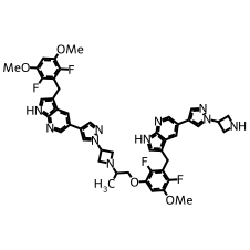 COc1cc(OC)c(F)c(Cc2c[nH]c3ncc(-c4cnn(C5CN(C(C)COc6cc(OC)c(F)c(Cc7c[nH]c8ncc(-c9cnn(C%10CNC%10)c9)cc78)c6F)C5)c4)cc23)c1F